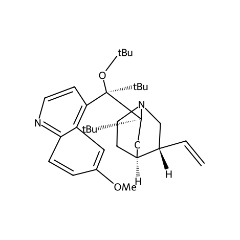 C=C[C@H]1CN2CC[C@H]1C[C@@]2(C(C)(C)C)[C@](OC(C)(C)C)(c1ccnc2ccc(OC)cc12)C(C)(C)C